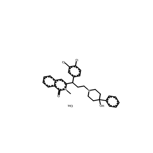 Cl.Cn1c(C(CCN2CCC(O)(c3ccccc3)CC2)c2ccc(Cl)c(Cl)c2)cc2ccccc2c1=O